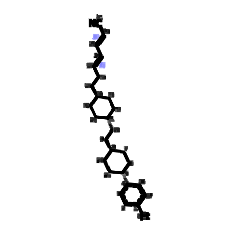 CCc1ccc([C@H]2CC[C@H](CC[C@H]3CC[C@H](CC/C=C/C=C/C#N)CC3)CC2)cc1